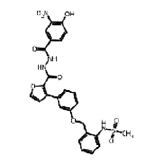 CS(=O)(=O)Nc1ccccc1COc1cccc(-c2ccoc2C(=O)NNC(=O)c2ccc(O)c([N+](=O)[O-])c2)c1